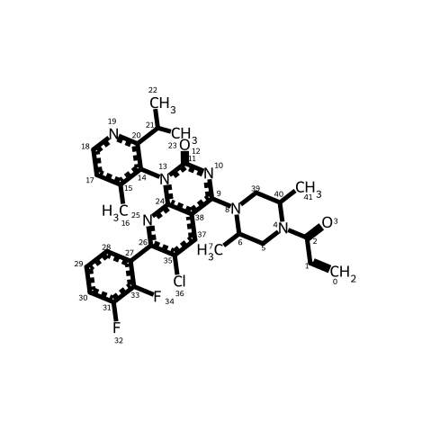 C=CC(=O)N1CC(C)N(c2nc(=O)n(-c3c(C)ccnc3C(C)C)c3nc(-c4cccc(F)c4F)c(Cl)cc23)CC1C